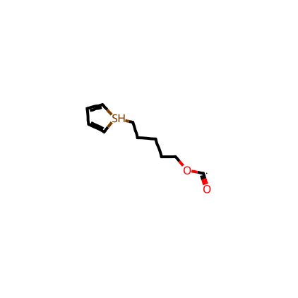 O=[C]OCCCCC[SH]1C=CC=C1